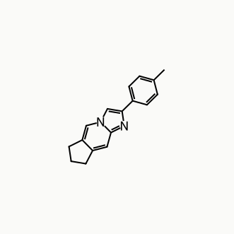 Cc1ccc(-c2cn3cc4c(cc3n2)CCC4)cc1